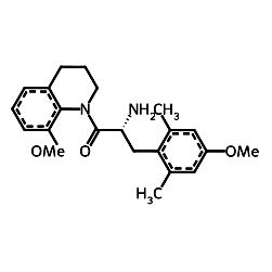 COc1cc(C)c(C[C@@H](N)C(=O)N2CCCc3cccc(OC)c32)c(C)c1